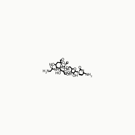 NCC(=O)N[C@@H]1C(O)C[C@](C=O)(OP(=O)(O)OCC2OC(n3ccc(N)nc3=O)[C@H](O)[C@@H]2O)OC1[C@H](O)[C@H](O)CO